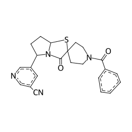 N#Cc1cncc(C2CCC3SC4(CCN(C(=O)c5ccccc5)CC4)C(=O)N32)c1